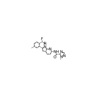 Cc1ccc(C(F)F)c(-c2cc3ccc(NC(=O)c4ncnn4C)nc3[nH]2)c1